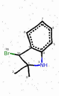 CC1(C)Nc2ccccc2C1Br